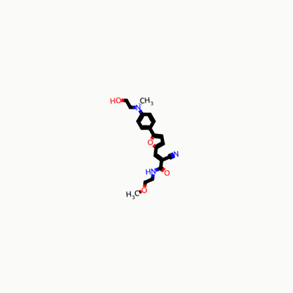 COCCNC(=O)/C(C#N)=C/c1ccc(-c2ccc(N(C)CCO)cc2)o1